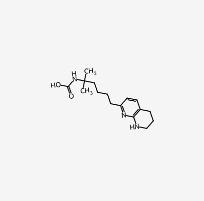 CC(C)(CCCCc1ccc2c(n1)NCCC2)NC(=O)O